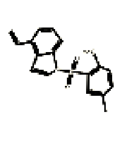 C=Cc1cccc2c1ccn2S(=O)(=O)c1cc(C)ccc1OC